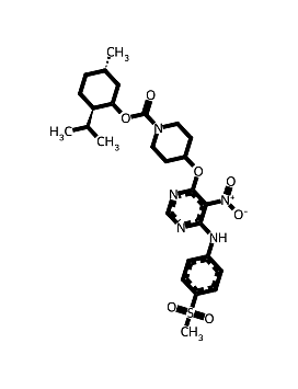 CC(C)[C@H]1CC[C@H](C)CC1OC(=O)N1CCC(Oc2ncnc(Nc3ccc(S(C)(=O)=O)cc3)c2[N+](=O)[O-])CC1